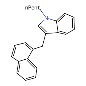 CCCCCn1cc(Cc2cccc3ccccc23)c2ccccc21